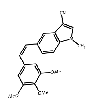 COc1cc(/C=C\c2ccc3c(c2)c(C#N)cn3C)cc(OC)c1OC